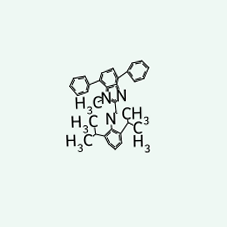 CC(C)c1cccc(C(C)C)c1/N=C/c1nc2c(-c3ccccc3)ccc(-c3ccccc3)c2n1C